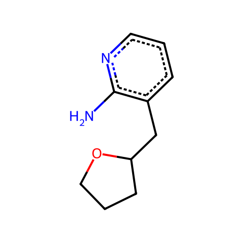 Nc1ncccc1CC1CCCO1